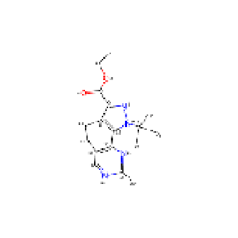 CCOC(=O)c1nn(C(C)(C)C)c2c1CCc1cnc(C)nc1-2